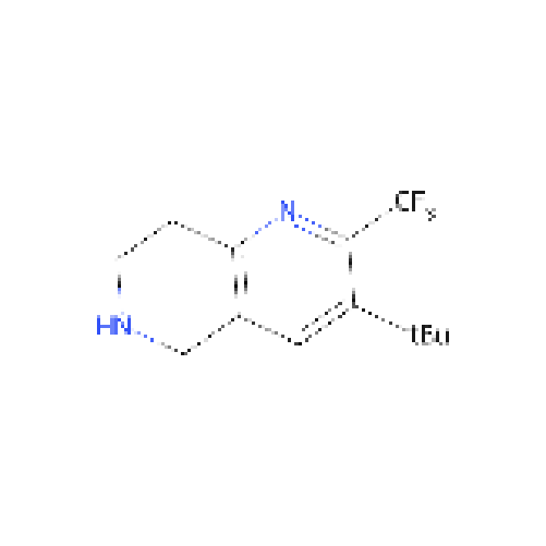 CC(C)(C)c1cc2c(nc1C(F)(F)F)CCNC2